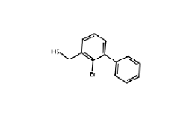 SCc1cccc(-c2ccccc2)c1Br